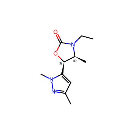 CCN1C(=O)O[C@H](c2cc(C)nn2C)[C@@H]1C